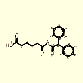 O=C(O)CCCCC(=O)OC(=O)C(c1ccccc1)c1ccccc1